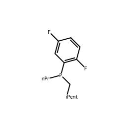 CCCC(C)CP(CCC)c1cc(F)ccc1F